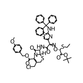 CCS[C@@H](O/N=C(\C(=O)N[C@@H]1C(=O)N2C(C(=O)OCc3ccc(OC)cc3)=C(CCl)CS[C@@H]12)c1csc(NC(c2ccccc2)(c2ccccc2)c2ccccc2)n1)C(=O)OC(C)(C)C